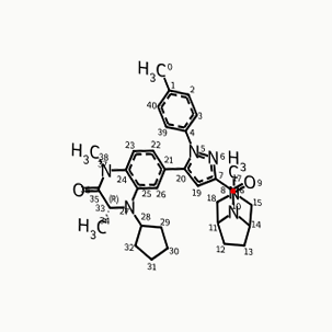 Cc1ccc(-n2nc(C(=O)N3C4CCC3CN(C)C4)cc2-c2ccc3c(c2)N(C2CCCC2)[C@H](C)C(=O)N3C)cc1